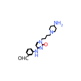 NC1CCN(CCCCn2ccc(Nc3cccc(C=O)c3)nc2=O)CC1